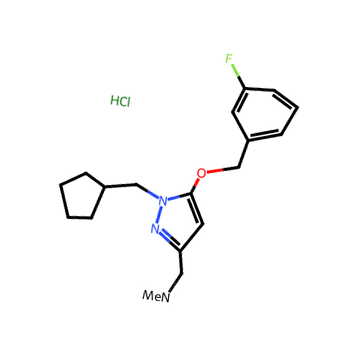 CNCc1cc(OCc2cccc(F)c2)n(CC2CCCC2)n1.Cl